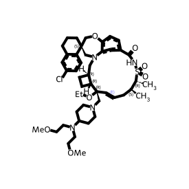 CCO[C@@]1(CN2CCC(N(CCOC)CCOC)CC2)/C=C/C[C@H](C)[C@@H](C)S(=O)(=O)NC(=O)c2ccc3c(c2)N(C[C@@H]2CC[C@H]21)C[C@@]1(CCCc2cc(Cl)ccc21)CO3